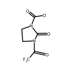 O=C(Cl)N1CCN(C(=O)C(F)(F)F)C1=O